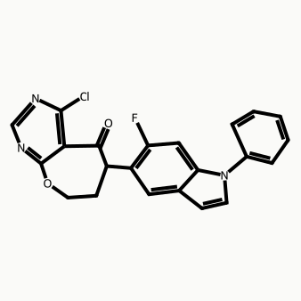 O=C1c2c(Cl)ncnc2OCCC1c1cc2ccn(-c3ccccc3)c2cc1F